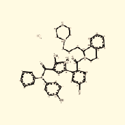 Cc1c(C(=O)N(c2ccccc2)c2ccc(O)cc2)cc(-c2cc(Cl)ccc2C(=O)N2CCc3ccccc3C2CCCN2CCOCC2)n1C.Cl